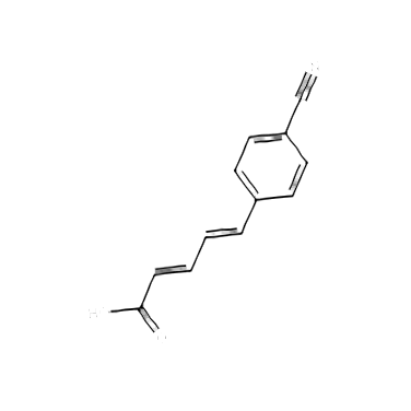 N#Cc1ccc(C=CC=CC(=O)O)cc1